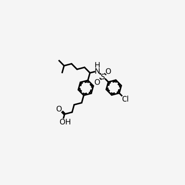 CC(C)CCCC(NS(=O)(=O)c1ccc(Cl)cc1)c1ccc(CCCC(=O)O)cc1